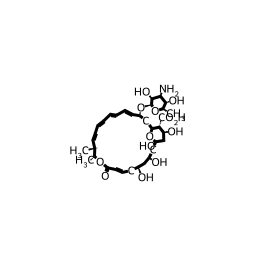 C[C@H]1/C=C/C=C/C=C/C=C/[C@H](O[C@@H]2O[C@H](C)[C@@H](O)[C@H](N)[C@@H]2O)CC2O[C@](O)(C[C@@H](O)C[C@@H](O)C/C=C/C(=O)O[C@@H]1C)C[C@H](O)[C@H]2C(=O)O